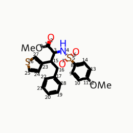 COC(=O)C(NS(=O)(=O)c1ccc(OC)cc1)C(Cc1ccccc1)c1ccsc1